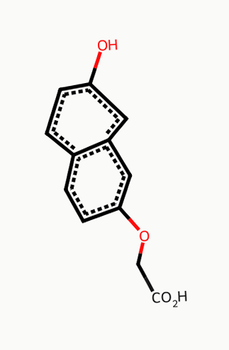 O=C(O)COc1ccc2ccc(O)cc2c1